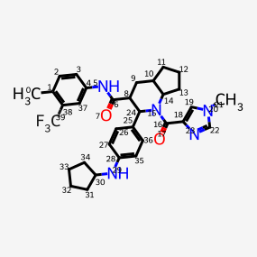 Cc1ccc(NC(=O)C2CC3CCCC3N(C(=O)c3cn(C)cn3)C2c2ccc(NC3CCCC3)cc2)cc1C(F)(F)F